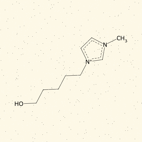 Cn1cc[n+](CCCCCO)c1